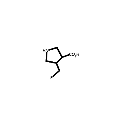 O=C(O)C1CNCC1CF